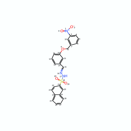 O=[N+]([O-])c1cccc(COc2cccc(C=NNS(=O)(=O)c3ccc4ccccc4c3)c2)c1